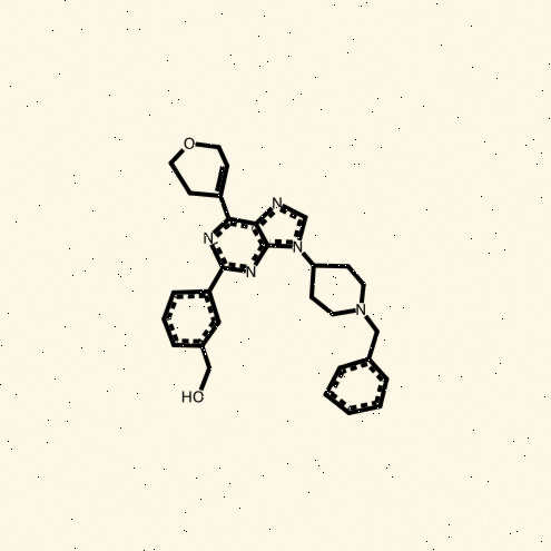 OCc1cccc(-c2nc(C3=CCOCC3)c3ncn(C4CCN(Cc5ccccc5)CC4)c3n2)c1